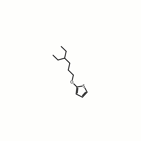 CCC(CC)CCCOc1cccs1